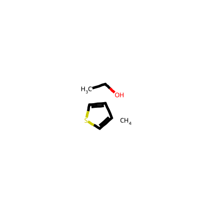 C.CCO.c1ccsc1